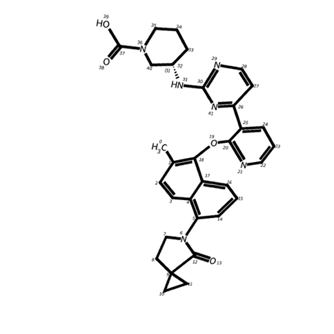 Cc1ccc2c(N3CCC4(CC4)C3=O)cccc2c1Oc1ncccc1-c1ccnc(N[C@H]2CCCN(C(=O)O)C2)n1